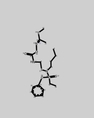 CCCCN(SCNC(=O)O/N=C(\C)SC)P(=S)(CC)Oc1ccccc1